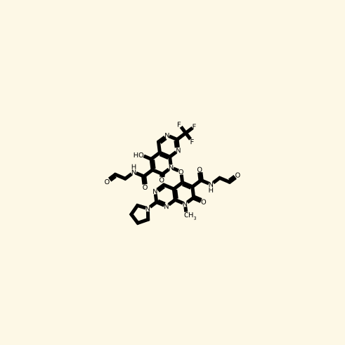 Cn1c(=O)c(C(=O)NCC=O)c(On2c(=O)c(C(=O)NCC=O)c(O)c3cnc(C(F)(F)F)nc32)c2cnc(N3CCCC3)nc21